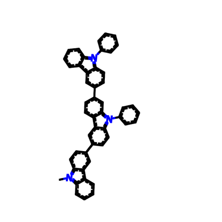 Cn1c2ccccc2c2cc(-c3ccc4c(c3)c3ccc(-c5ccc6c(c5)c5ccccc5n6-c5ccccc5)cc3n4-c3ccccc3)ccc21